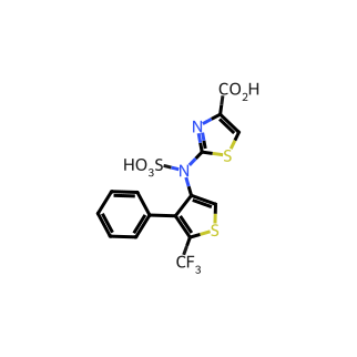 O=C(O)c1csc(N(c2csc(C(F)(F)F)c2-c2ccccc2)S(=O)(=O)O)n1